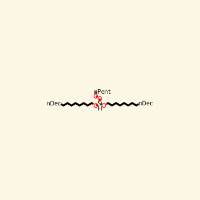 CCCCCCCCCCCCCCCCCCO[SiH](OCCCCCCCCCCCCCCCCCC)OOCCCCC